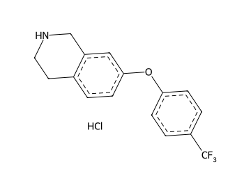 Cl.FC(F)(F)c1ccc(Oc2ccc3c(c2)CNCC3)cc1